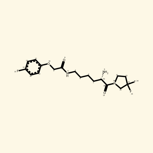 N[C@@H](CCCCNC(=O)COc1ccc(F)cc1)C(=O)N1CCC(F)(F)C1